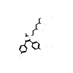 CC(C)c1nc(-c2ccc(F)cc2)c(-c2ccc(F)cc2)n1CCC(O)CC(O)CC(=O)O.[NaH]